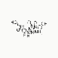 Nc1nc(Nc2ccc(C(=O)NCCO)cc2F)nc2c1n(-c1cccc(O)c1)c(=O)n2C1CCCC1